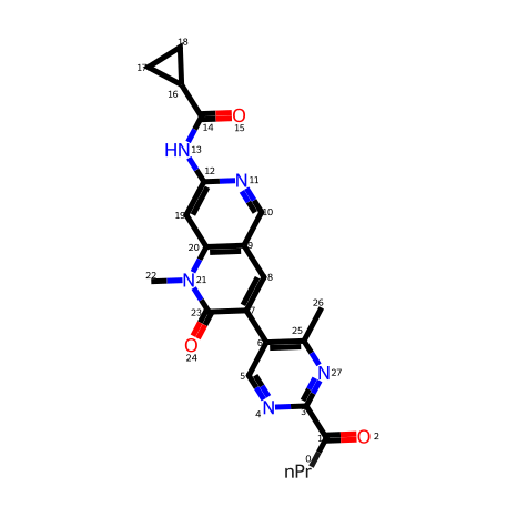 CCCC(=O)c1ncc(-c2cc3cnc(NC(=O)C4CC4)cc3n(C)c2=O)c(C)n1